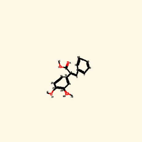 COC(=O)C(=Cc1ccccc1)c1ccc(OC)c(OC)c1